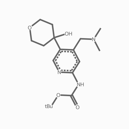 CN(C)Cc1cc(NC(=O)OC(C)(C)C)ncc1C1(O)CCOCC1